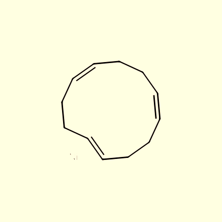 C1=CCC/C=C/CCC=CCC1.[Ni]